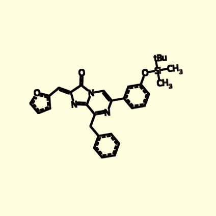 CC(C)(C)[Si](C)(C)Oc1cccc(C2=CN3C(=O)/C(=C/c4ccco4)N=C3C(Cc3ccccc3)=N2)c1